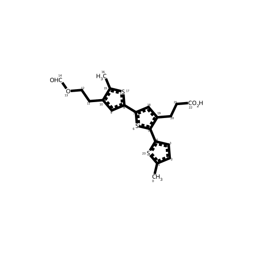 Cc1ccc(-c2sc(-c3cc(CCOC=O)c(C)s3)cc2CCC(=O)O)s1